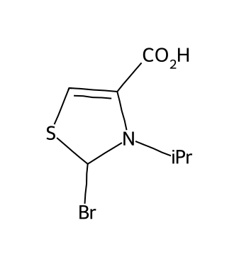 CC(C)N1C(C(=O)O)=CSC1Br